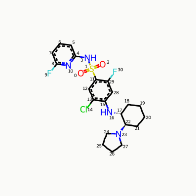 O=S(=O)(Nc1cccc(F)n1)c1cc(Cl)c(N[C@@H]2CCCC[C@H]2N2CCCC2)cc1F